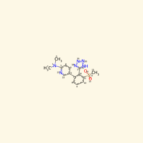 CN(C)c1ccc(-c2cccc(S(C)(=O)=O)c2-c2nnn[nH]2)cn1